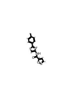 Cc1ccc(-c2nc(NC(=O)c3ccno3)cs2)cc1